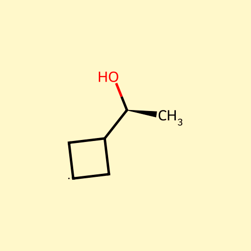 C[C@H](O)C1C[CH]C1